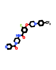 O=C(NC1CCN(C(=O)c2ccncc2)CC1)c1ccc(OC2CCN(c3ccc(C(F)(F)F)cc3)CC2)c(F)c1